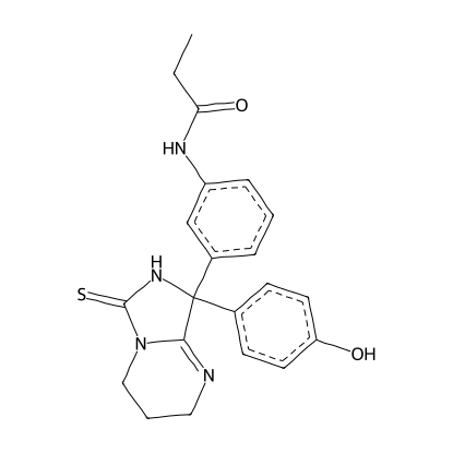 CCC(=O)Nc1cccc(C2(c3ccc(O)cc3)NC(=S)N3CCCN=C32)c1